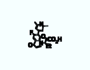 CCC1[C@@H](C(=O)O)Oc2c(-c3cc(C)nc(C)c3)c(F)cc3c(=O)ccn1c23